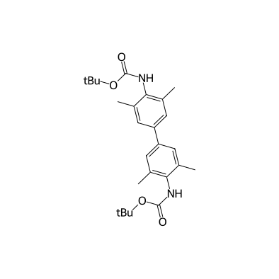 Cc1cc(-c2cc(C)c(NC(=O)OC(C)(C)C)c(C)c2)cc(C)c1NC(=O)OC(C)(C)C